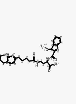 COC1C(C(=O)NC(CCNC(=O)CCCCc2ccc3c(n2)NCCC3)C(=O)O)=Nc2ccccc21